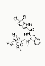 CC(C)(C)OC(=O)CNC1c2ccccc2CC1NC(=O)c1cc2sc(Cl)c(Cl)c2[nH]1